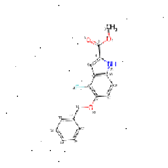 COC(=O)c1cc2c(F)c(OCc3ccccc3)ccc2[nH]1